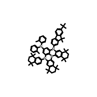 Cc1ccccc1N(c1cc2c3c(c1)N(c1ccc4c(c1)C(C)(C)c1cc(C(C)(C)C)ccc1-4)c1cc4c(cc1B3c1cc3c(cc1N2c1ccc2c(c1)C(C)(C)CCC2(C)C)C(C)(C)CCC3(C)C)C(C)(C)CCC4(C)C)c1ccccc1C